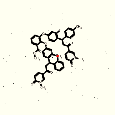 COC(=O)c1cccc(Oc2ccc(C(CC(=O)c3ccc(=O)n(C)c3)c3ccc(C)cc3)c(F)c2)c1Oc1ccc(C(CC(=O)c2ccc(=O)n(C)c2)c2ccccc2C)c(F)c1